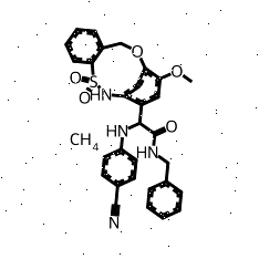 C.COc1cc(C(Nc2ccc(C#N)cc2)C(=O)NCc2ccccc2)c2cc1OCc1ccccc1S(=O)(=O)N2